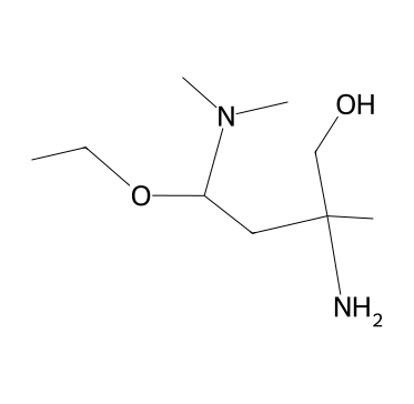 CCOC(CC(C)(N)CO)N(C)C